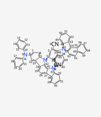 N#Cc1cc(-n2c3ccc(N(c4ccccc4)c4ccccc4)cc3c3ccc4c5ccccc5n(-c5ccccc5)c4c32)c(C#N)cc1-n1c2ccccc2c2c3ccccc3ccc21